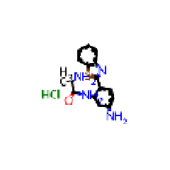 C[C@H](N)C(N)=O.Cl.Nc1ccc(-c2nc3ccccc3s2)cc1